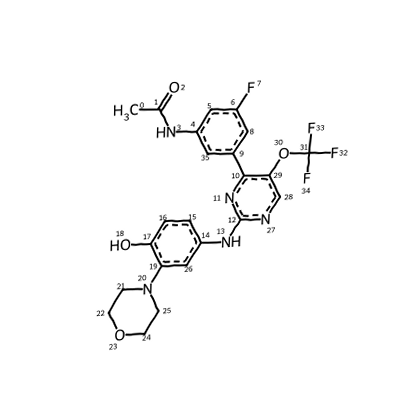 CC(=O)Nc1cc(F)cc(-c2nc(Nc3ccc(O)c(N4CCOCC4)c3)ncc2OC(F)(F)F)c1